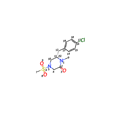 CN1C(=O)CN(S(C)(=O)=O)C[C@@H]1Cc1ccc(Cl)cc1